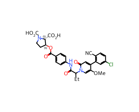 CCC(C(=O)Nc1ccc(C(=O)O[C@H]2CCN(C(=O)O)[C@@H]2C(=O)O)cc1)n1cc(OC)c(-c2cc(Cl)ccc2C#N)cc1=O